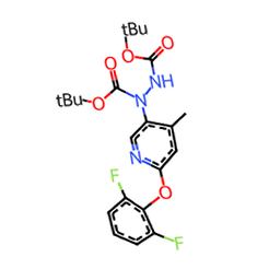 Cc1cc(Oc2c(F)cccc2F)ncc1N(NC(=O)OC(C)(C)C)C(=O)OC(C)(C)C